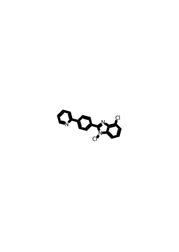 Clc1cccc2c1nc(-c1ccc(-c3ccccn3)cc1)n2Cl